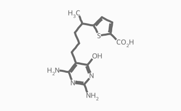 CC(CCCc1c(N)nc(N)nc1O)c1ccc(C(=O)O)s1